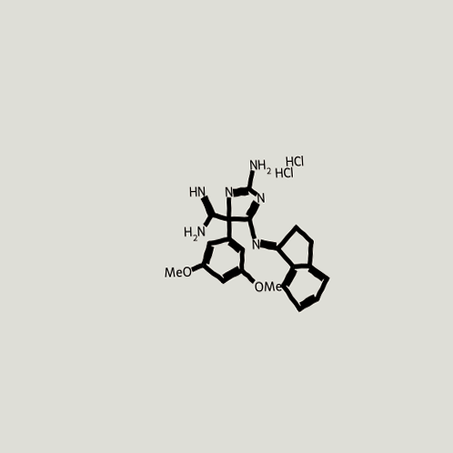 COc1cc(OC)cc(C2(C(=N)N)N=C(N)N=C2N=C2CCc3ccccc32)c1.Cl.Cl